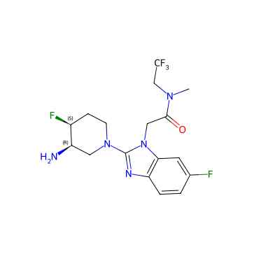 CN(CC(F)(F)F)C(=O)Cn1c(N2CC[C@H](F)[C@H](N)C2)nc2ccc(F)cc21